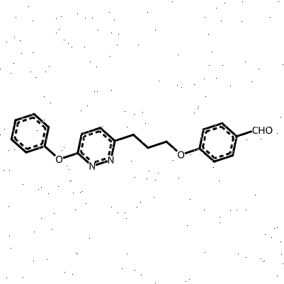 O=Cc1ccc(OCCCc2ccc(Oc3ccccc3)nn2)cc1